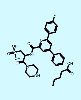 CCCCC(=O)O.O=C(NC(CP(=O)(O)O)C(=O)N1CCNCC1)c1cc(-c2ccccc2)cc(-c2ccc(F)cc2)n1